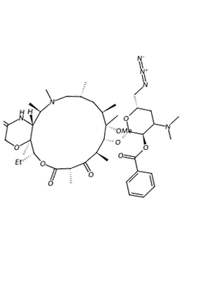 CC[C@H]1OC(=O)[C@@H](C)C(=O)[C@H](C)[C@@H](O[C@@H]2O[C@H](CN=[N+]=[N-])CC(N(C)C)[C@H]2OC(=O)c2ccccc2)[C@@](C)(OC)[C@H](C)C[C@@H](C)CN(C)[C@H](C)[C@H]2NC(=O)CO[C@@]21C